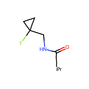 CC(C)C(=O)NCC1(F)CC1